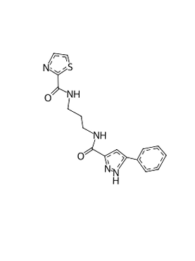 O=C(NCCCNC(=O)c1nccs1)c1cc(-c2ccccc2)[nH]n1